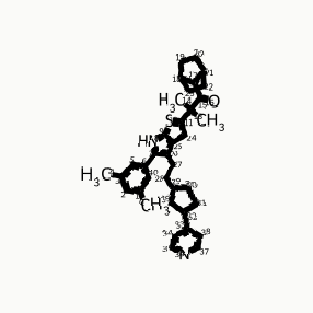 Cc1cc(C)cc(-c2[nH]c3sc(C(C)(C)C(=O)C4C5CCC4CC5)cc3c2CCC2CCC(c3ccncc3)C2)c1